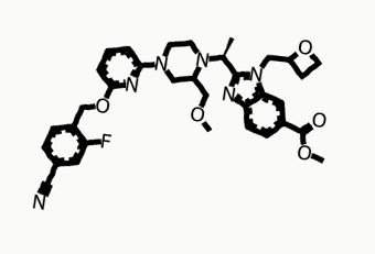 COCC1CN(c2cccc(OCc3ccc(C#N)cc3F)n2)CCN1[C@@H](C)c1nc2ccc(C(=O)OC)cc2n1CC1CCO1